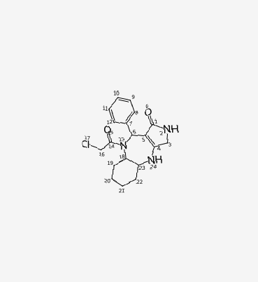 O=C1NCC2=C1C(c1ccccc1)N(C(=O)CCl)C1CCCCC1N2